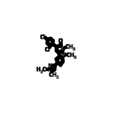 Cc1cc(-c2ccc3c(c2)c2cc(-c4ccc(Cl)cc4Cl)c(=O)n(C)c2n3C)nn1C